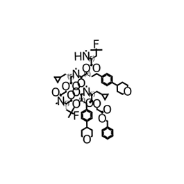 CN[C@@H](CC(C)(C)F)C(=O)O[C@H](CCc1ccc(C2CCOCC2)cc1)C(=O)N(C)[C@@H](CC1CC1)C(=O)OCC(=O)N(C)[C@@H](CC(C)(C)F)C(=O)O[C@H](Cc1ccc(C2CCOCC2)cc1)C(=O)N(C)[C@@H](CC1CC1)C(=O)OCC(=O)OCc1ccccc1